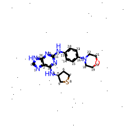 c1nc2c(N[C@H]3CCSC3)nc(Nc3ccc(N4CCOCC4)cc3)nc2[nH]1